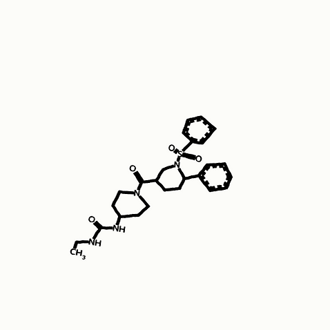 CCNC(=O)NC1CCN(C(=O)C2CCC(c3ccccc3)N(S(=O)(=O)c3ccccc3)C2)CC1